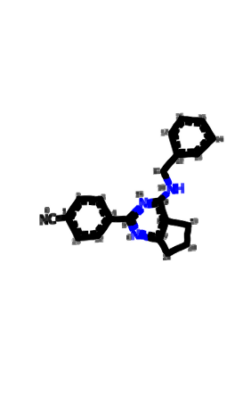 N#Cc1ccc(-c2nc3c(c(NCc4ccccc4)n2)CCC3)cc1